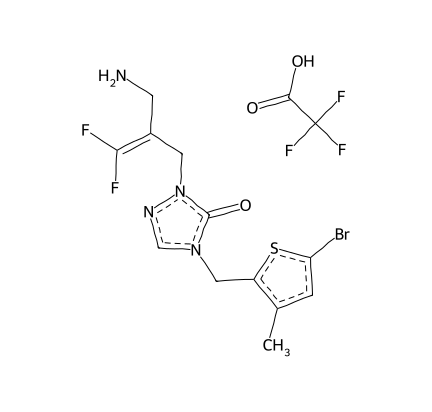 Cc1cc(Br)sc1Cn1cnn(CC(CN)=C(F)F)c1=O.O=C(O)C(F)(F)F